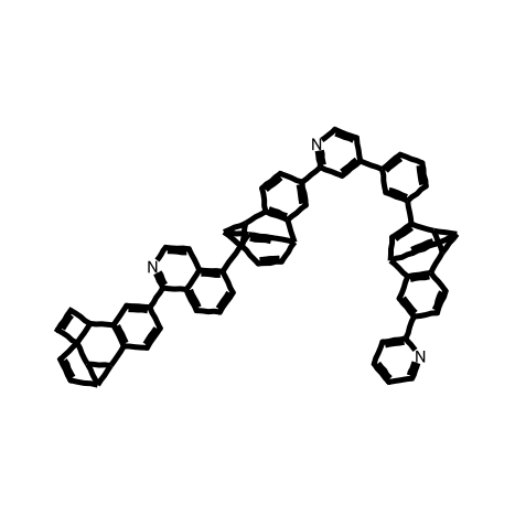 C1=CC2C3C(c4cccc(-c5ccnc(-c6ccc7c(c6)C6C=CC8C(C(c9cccc%10c(-c%11ccc%12c(c%11)C%11C=CC%11%13C=CC%11C%12C%11%13)nccc9%10)=C6)C78)c5)c4)=CC1c1cc(-c4ccccn4)ccc1C23